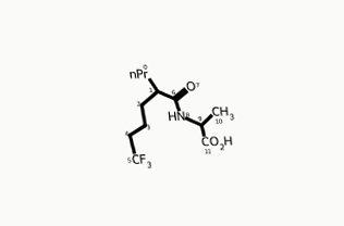 CCCC(CCCC(F)(F)F)C(=O)NC(C)C(=O)O